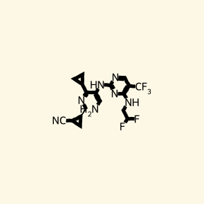 N#CC1C[C@@H]1C/N=C(\C(=C/N)Nc1ncc(C(F)(F)F)c(NCC(F)F)n1)C1CC1